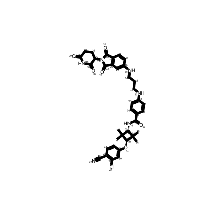 CC1(C)[C@H](NC(=O)c2ccc(NCCCNc3ccc4c(c3)C(=O)N(C3CCC(=O)NC3=O)C4=O)cc2)C(C)(C)[C@H]1Oc1ccc(C#N)c(Cl)c1